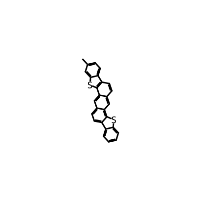 Cc1ccc2c(c1)sc1c3cc4ccc5c6ccccc6sc5c4cc3ccc21